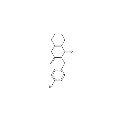 O=C1CC2=C(CCCC2)C(=O)N1Cc1ccc(Br)cc1